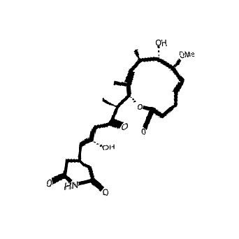 CO[C@H]1/C=C/CCC(=O)O[C@H]([C@H](C)C(=O)C[C@H](O)CC2CC(=O)NC(=O)C2)/C(C)=C\[C@@H](C)[C@@H]1O